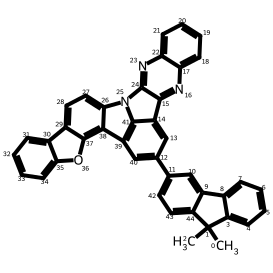 CC1(C)c2ccccc2-c2cc(-c3cc4c5nc6ccccc6nc5n5c6ccc7c8ccccc8oc7c6c(c3)c45)ccc21